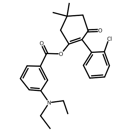 CCN(CC)c1cccc(C(=O)OC2=C(c3ccccc3Cl)C(=O)CC(C)(C)C2)c1